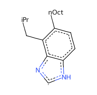 CCCCCCCCc1ccc2[nH][c]nc2c1CC(C)C